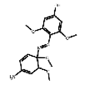 COc1cc(O)cc(OC)c1N=NC1(OC)C=CC(N)=CC1OC